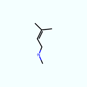 C[N]CC=C(C)C